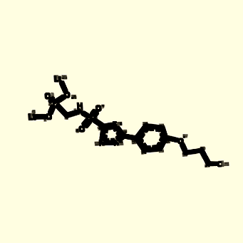 CCOP(=O)(CNS(=O)(=O)c1nnc(-c2ccc(OCCCCl)cc2)s1)OCC